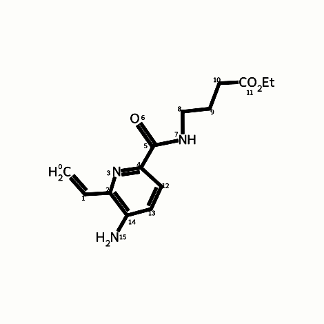 C=Cc1nc(C(=O)NCCCC(=O)OCC)ccc1N